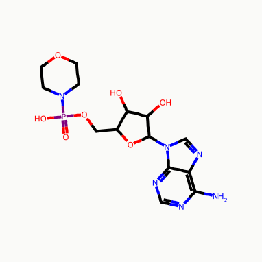 Nc1ncnc2c1ncn2C1OC(COP(=O)(O)N2CCOCC2)C(O)C1O